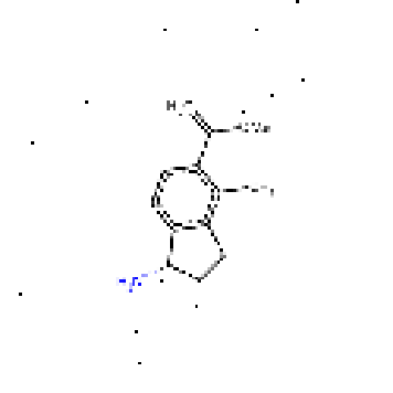 C=C(OC)c1ccc2c(c1C)CC[C@@H]2N